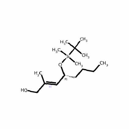 CCCC[C@H](/C=C(\C)CO)O[Si](C)(C)C(C)(C)C